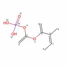 C=C(OC(=C)/C(C)=C\C)OP(=O)(O)O